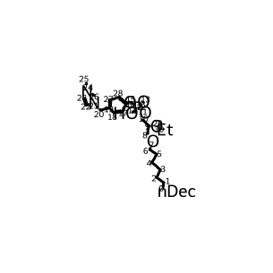 CCCCCCCCCCCCCCCCOCC(COP(=O)(O)Oc1ccc(CN2C=CN(C)C2)cc1)OCC